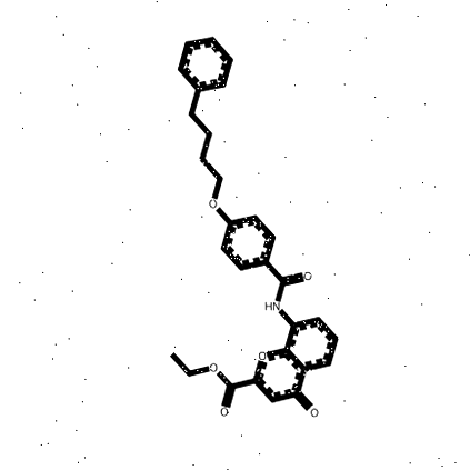 CCOC(=O)c1cc(=O)c2cccc(NC(=O)c3ccc(OCCCCc4ccccc4)cc3)c2o1